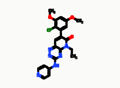 CCn1c(=O)c(-c2cc(OC)cc(OC)c2Cl)cc2nnc(Nc3ccncc3)nc21